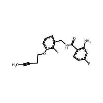 CC#CCCOc1cccc(CNC(=O)c2ccc(F)nc2N)c1F